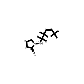 CC(C)(C)/C=C\C(C)(C)C(C)(C)NN1CCCC1=O